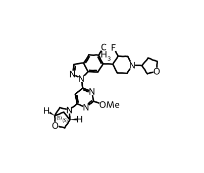 COc1nc(N2C[C@@H]3C[C@H]2CO3)cc(-n2ncc3cc(C)c(C4CCN(C5CCOC5)CC4F)cc32)n1